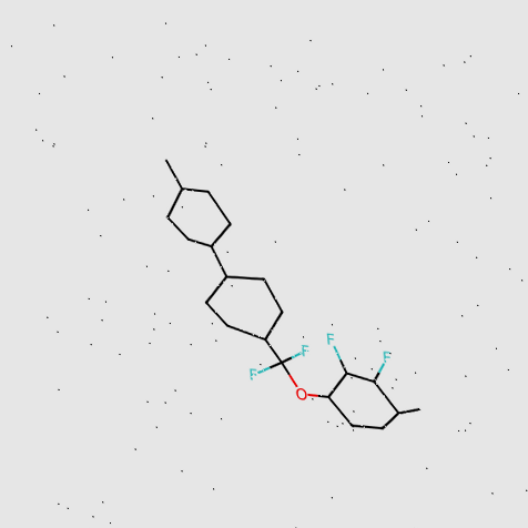 CC1CCC(C2CCC(C(F)(F)OC3CCC(C)C(F)C3F)CC2)CC1